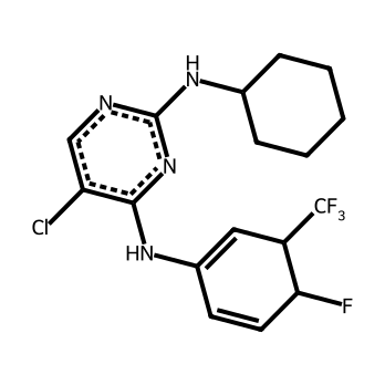 FC1C=CC(Nc2nc(NC3CCCCC3)ncc2Cl)=CC1C(F)(F)F